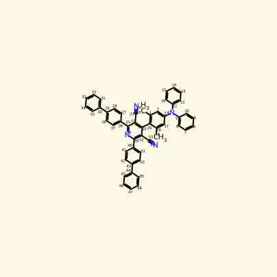 Cc1cc(N(c2ccccc2)c2ccccc2)cc(C)c1-c1c(C#N)c(-c2ccc(-c3ccccc3)cc2)nc(-c2ccc(-c3ccccc3)cc2)c1C#N